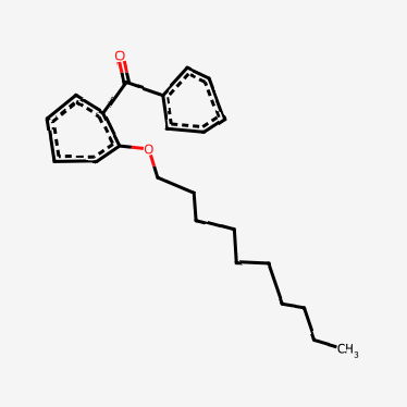 CCCCCCCCCCOc1ccccc1C(=O)c1ccccc1